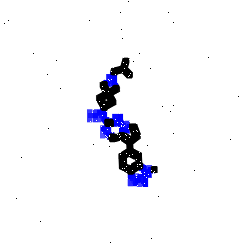 CC(C)CN1CC2(CC(Nc3ncc4c(-c5ccc6nnn(C)c6c5)ccn4n3)C2)C1